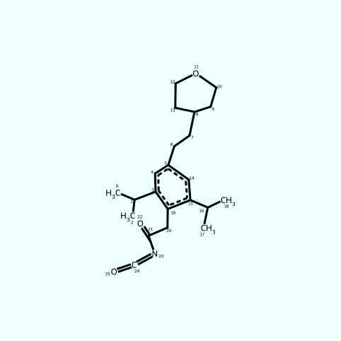 CC(C)c1cc(CCC2CCOCC2)cc(C(C)C)c1CC(=O)N=C=O